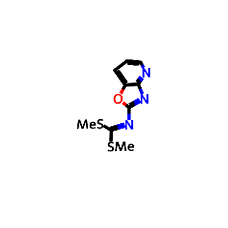 CSC(=Nc1nc2ncccc2o1)SC